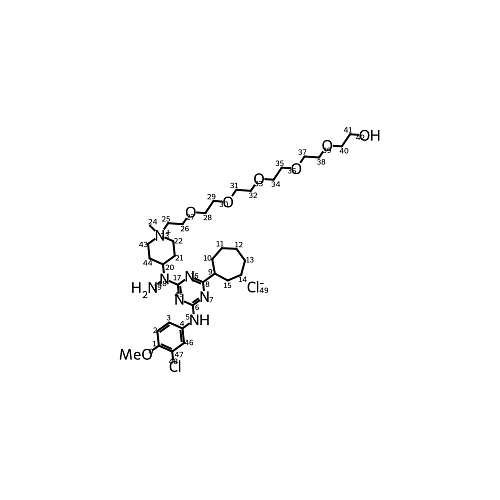 COc1ccc(Nc2nc(C3CCCCCC3)nc(N(N)C3CC[N+](C)(CCOCCOCCOCCOCCOCCO)CC3)n2)cc1Cl.[Cl-]